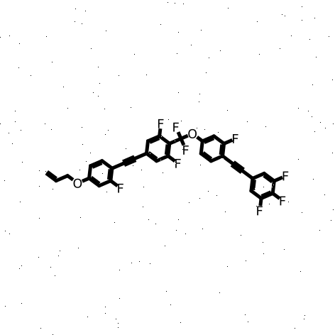 C=CCOc1ccc(C#Cc2cc(F)c(C(F)(F)Oc3ccc(C#Cc4cc(F)c(F)c(F)c4)c(F)c3)c(F)c2)c(F)c1